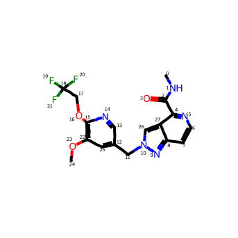 CNC(=O)c1nccc2nn(Cc3cnc(OCC(F)(F)F)c(OC)c3)cc12